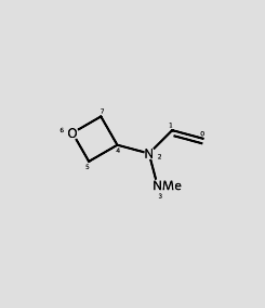 C=CN(NC)C1COC1